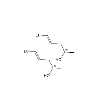 CCC=CC[C@@H](C)O.CCC=CC[C@H](C)O